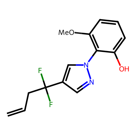 C=CCC(F)(F)c1cnn(-c2c(O)cccc2OC)c1